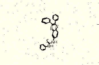 S=C(Nc1ccccc1)Nc1ccc2nc(-c3ccccc3)c(-c3ccccc3)nc2c1